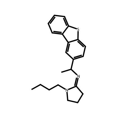 CCCCN1CCCC1=NC(C)c1ccc2sc3ccccc3c2c1